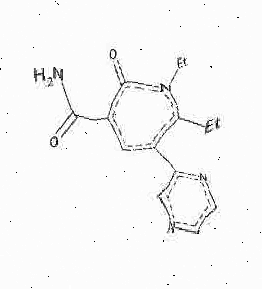 CCc1c(-c2cnccn2)cc(C(N)=O)c(=O)n1CC